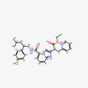 CCOC(=O)C(Cc1ccccn1)c1cn2c(C(=O)NCC(CC(C)C)c3ccc(Cl)cc3)cccc2n1